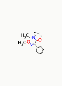 CCN(C)C(=O)C(=NOC)c1ccccc1